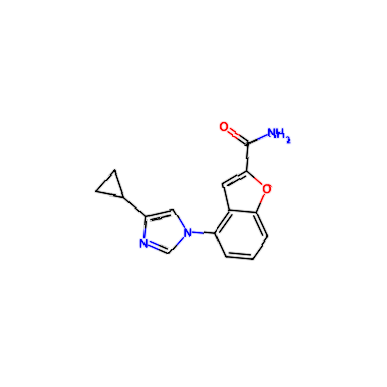 NC(=O)c1cc2c(-n3cnc(C4CC4)c3)cccc2o1